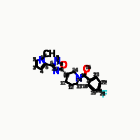 Cn1cccc1-c1noc([C@H]2CCCN(C(=O)c3ccc(F)cc3)C2)n1